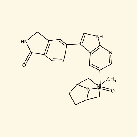 CN1CC2CCC(C1)N2C(=O)c1cnc2[nH]cc(-c3ccc4c(c3)CNC4=O)c2c1